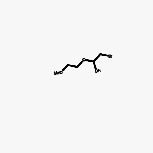 COCCO[C](O)CBr